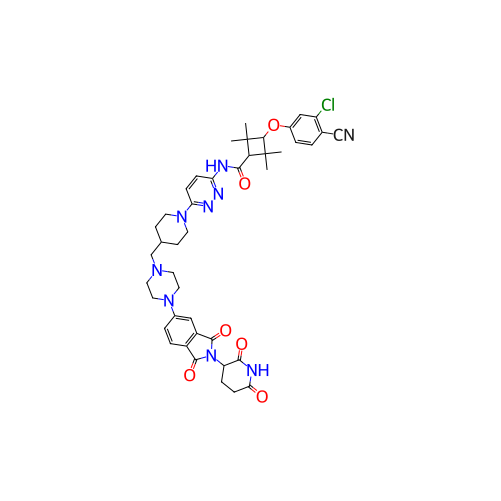 CC1(C)C(Oc2ccc(C#N)c(Cl)c2)C(C)(C)C1C(=O)Nc1ccc(N2CCC(CN3CCN(c4ccc5c(c4)C(=O)N(C4CCC(=O)NC4=O)C5=O)CC3)CC2)nn1